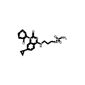 NS(=O)(=O)NCCCNc1nc(=O)n(-c2ccccc2Cl)c2cc(C3CC3)ccc12